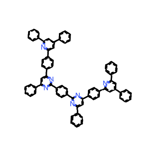 c1ccc(-c2cc(-c3ccccc3)nc(-c3ccc(-c4cc(-c5ccccc5)nc(-c5ccc(-c6nc(-c7ccccc7)cc(-c7ccc(-c8cc(-c9ccccc9)cc(-c9ccccc9)n8)cc7)n6)cc5)n4)cc3)c2)cc1